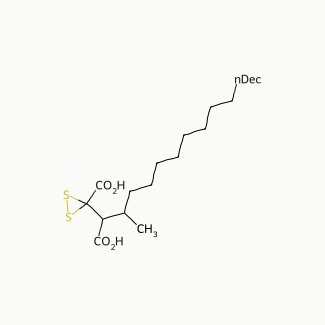 CCCCCCCCCCCCCCCCCCC(C)C(C(=O)O)C1(C(=O)O)SS1